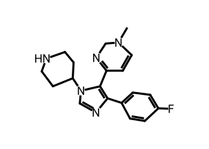 CN1C=CC(c2c(-c3ccc(F)cc3)ncn2C2CCNCC2)=NC1